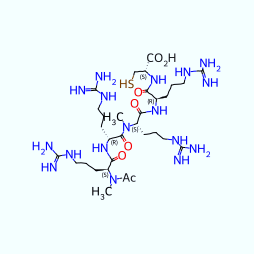 CC(=O)N(C)[C@@H](CCCNC(=N)N)C(=O)N[C@H](CCCNC(=N)N)C(=O)N(C)[C@@H](CCCNC(=N)N)C(=O)N[C@H](CCCNC(=N)N)C(=O)N[C@H](CS)C(=O)O